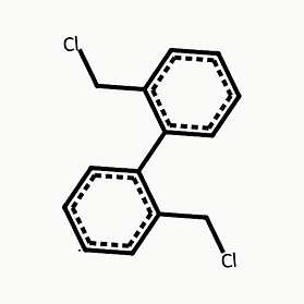 ClCc1c[c]ccc1-c1ccccc1CCl